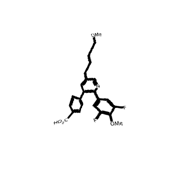 COCCCCc1cnc(-c2cc(F)c(OC)c(F)c2)c(-c2ccc(C(=O)O)cc2)c1